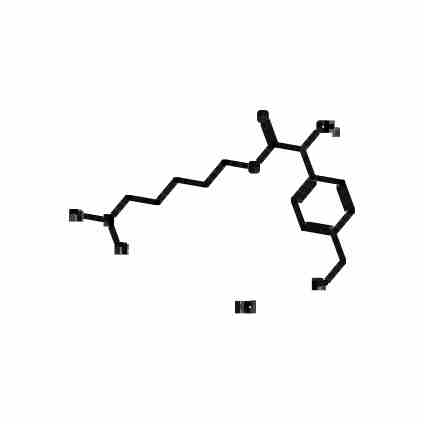 CCN(CC)CCCCCOC(=O)C(C)c1ccc(CC(C)C)cc1.Cl